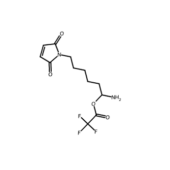 NC(CCCCCN1C(=O)C=CC1=O)OC(=O)C(F)(F)F